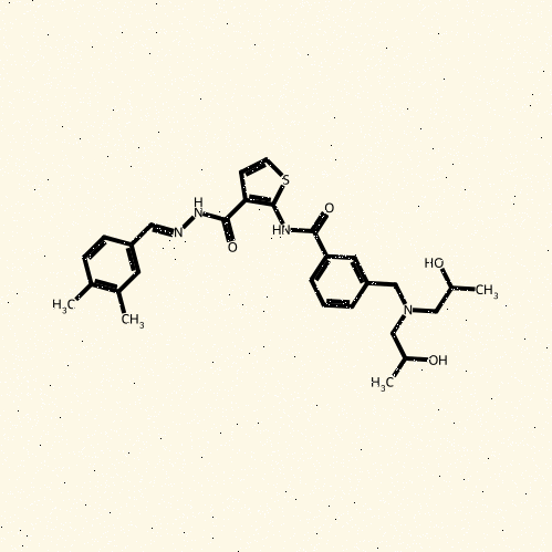 Cc1ccc(C=NNC(=O)c2ccsc2NC(=O)c2cccc(CN(CC(C)O)CC(C)O)c2)cc1C